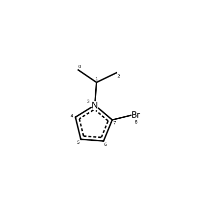 CC(C)n1cccc1Br